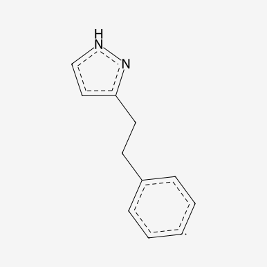 [c]1ccc(CCc2cc[nH]n2)cc1